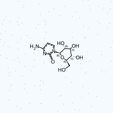 Nc1ccn([C@@H]2O[C@H](CO)[C@@H](O)[C@H](O)[C@H]2O)c(=O)n1